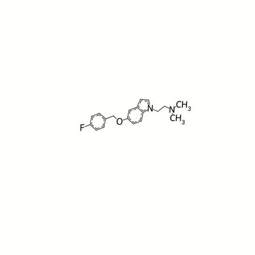 CN(C)CCn1ccc2cc(OCc3ccc(F)cc3)ccc21